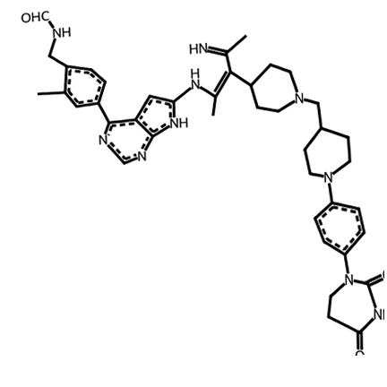 CC(=N)/C(=C(/C)Nc1cc2c(-c3ccc(CNC=O)c(C)c3)ncnc2[nH]1)C1CCN(CC2CCN(c3ccc(N4CCC(=O)NC4=O)cc3)CC2)CC1